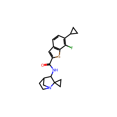 O=C(NC1C2CCN(C2)C12CC2)c1cc2ccc(C3CC3)c(F)c2s1